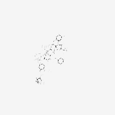 CC(=O)Oc1ccc(C[N+]2(CC(=O)N[C@@H](CCc3ccccc3)C(=O)N[C@@H](CC(C)C)C(=O)N[C@@H](Cc3ccccc3)C(=O)N[C@@H](C)C(=O)[C@@]3(C)CO3)CCOCC2)cc1OCc1c[nH]nn1